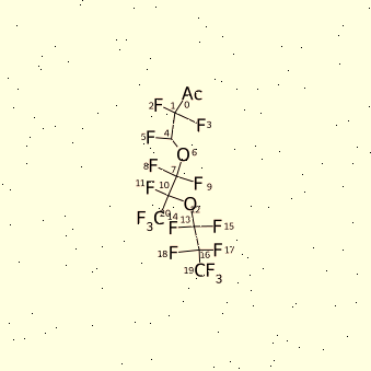 CC(=O)C(F)(F)C(F)OC(F)(F)C(F)(OC(F)(F)C(F)(F)C(F)(F)F)C(F)(F)F